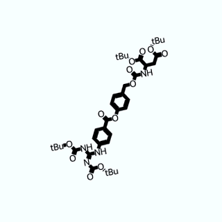 CC(C)(C)OC(=O)CC(NC(=O)OCc1ccc(OC(=O)c2ccc(NC(=NC(=O)OC(C)(C)C)NC(=O)OC(C)(C)C)cc2)cc1)C(=O)OC(C)(C)C